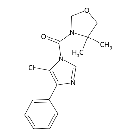 CC1(C)COCN1C(=O)n1cnc(-c2ccccc2)c1Cl